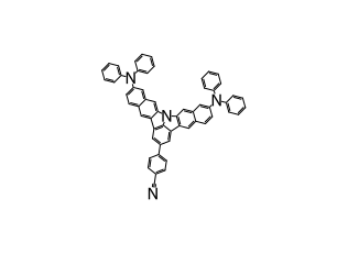 N#Cc1ccc(-c2cc3c4cc5ccc(N(c6ccccc6)c6ccccc6)cc5cc4n4c5cc6cc(N(c7ccccc7)c7ccccc7)ccc6cc5c(c2)c34)cc1